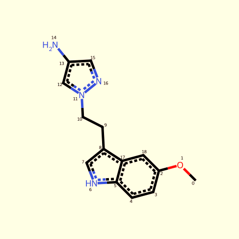 COc1ccc2[nH]cc(CCn3cc(N)cn3)c2c1